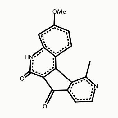 COc1ccc2c3c(c(=O)[nH]c2c1)C(=O)c1ccnc(C)c1-3